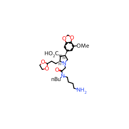 CCCCN(CCCCN)C(=O)CN1C[C@H](c2cc(OC)c3c(c2)OCO3)[C@@H](C(=O)O)[C@@H]1CCC1OCCO1